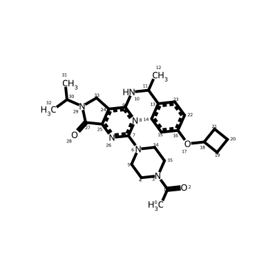 CC(=O)N1CCN(c2nc(NC(C)c3ccc(OC4CCC4)cc3)c3c(n2)C(=O)N(C(C)C)C3)CC1